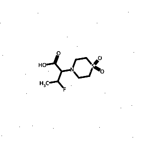 CC(F)C(C(=O)O)N1CCS(=O)(=O)CC1